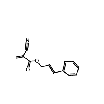 C=C(C#N)C(=O)OCC=Cc1ccccc1